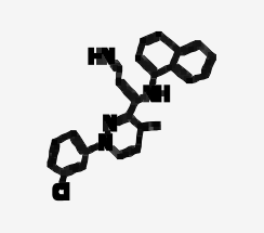 C=C1C=CN(c2cccc(Cl)c2)N=C1/C(=C/C=N)Nc1cccc2ccccc12